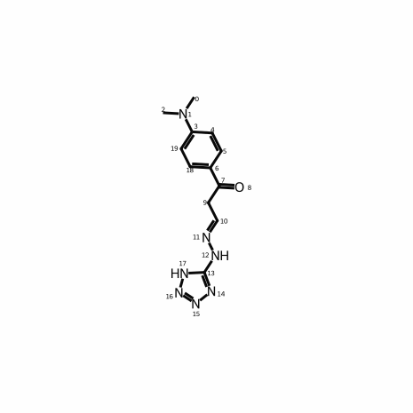 CN(C)c1ccc(C(=O)CC=NNc2nnn[nH]2)cc1